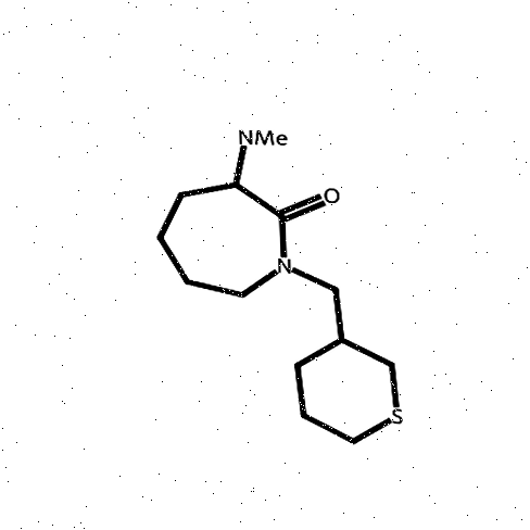 CNC1CCCCN(CC2CCCSC2)C1=O